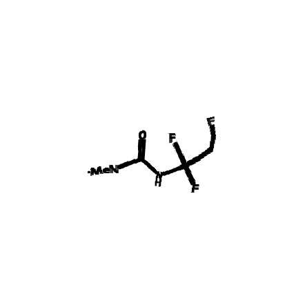 C[N]C(=O)NC(F)(F)CF